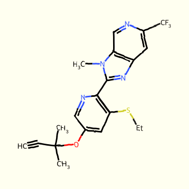 C#CC(C)(C)Oc1cnc(-c2nc3cc(C(F)(F)F)ncc3n2C)c(SCC)c1